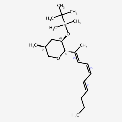 CCC/C=C/C=C\C=C(/C)[C@@H]1OC[C@@H](C)C[C@H]1O[Si](C)(C)C(C)(C)C